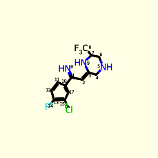 N=C(/C=C1/CNCC(C(F)(F)F)N1)c1ccc(F)c(Cl)c1